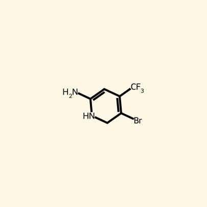 NC1=CC(C(F)(F)F)=C(Br)CN1